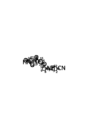 N#CC1CCC(CN[C@@H]2CCCC2Oc2ccc3c(c2)CN(C2CCC(=O)NC2=O)C3=O)CC1